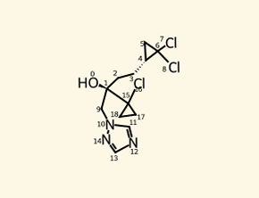 O[C@](CC[C@@H]1CC1(Cl)Cl)(Cn1cncn1)C1(Cl)CC1